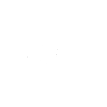 CCCCCC1=N/CCCC(=C\NC)/C=C\1